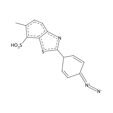 Cc1ccc2nc(C3C=CC(=[N+]=[N-])C=C3)sc2c1S(=O)(=O)O